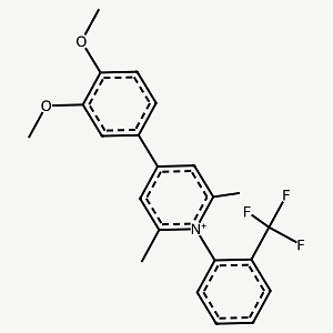 COc1ccc(-c2cc(C)[n+](-c3ccccc3C(F)(F)F)c(C)c2)cc1OC